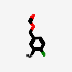 Cc1cc(CO[C]=O)ccc1F